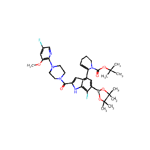 COc1cc(F)cnc1N1CCN(C(=O)c2cc3c(C4=CCCCN4C(=O)OC(C)(C)C)cc(B4OC(C)(C)C(C)(C)O4)c(F)c3[nH]2)CC1